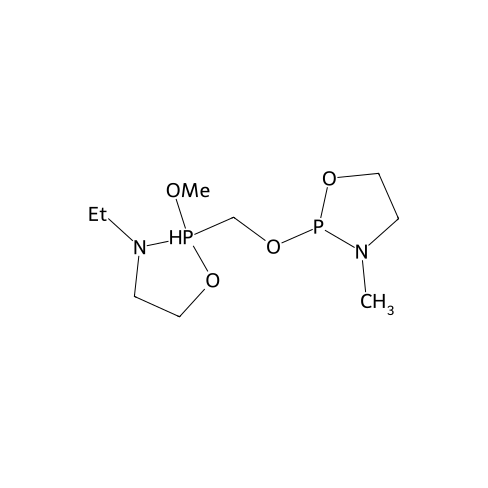 CCN1CCO[PH]1(COP1OCCN1C)OC